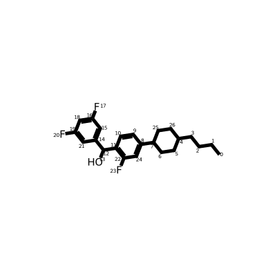 CCCCC1CCC(c2ccc(C(O)c3cc(F)cc(F)c3)c(F)c2)CC1